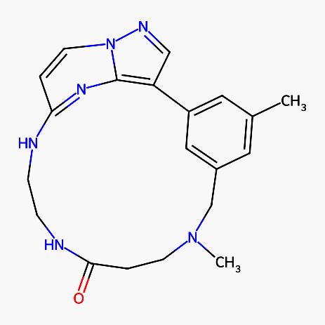 Cc1cc2cc(c1)-c1cnn3ccc(nc13)NCCNC(=O)CCN(C)C2